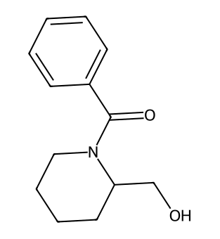 O=C(c1ccccc1)N1CCCCC1CO